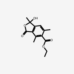 CCOC(=O)c1c(C)cc2c(c1C)C(=O)OC2(C)O